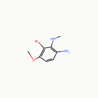 CNc1c(N)ccc(OC)c1Br